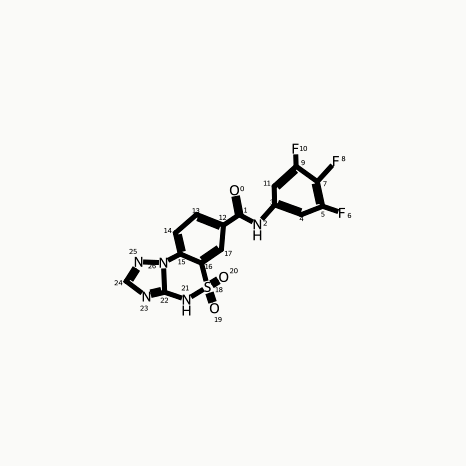 O=C(Nc1cc(F)c(F)c(F)c1)c1ccc2c(c1)S(=O)(=O)Nc1ncnn1-2